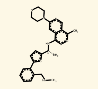 CNCc1ccccc1-c1ccc([C@@H](N)Nc2nnc(C)c3cnc(N4CCOCC4)cc23)s1